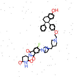 O=C1CCC(N2C(=O)c3cc(F)c(N4CC5CCC4CN5CC4CCN(CCOc5ccc([C@@H]6c7ccc(O)cc7CC[C@@H]6c6ccccc6)cc5)CC4)cc3C2=O)C(=O)N1